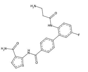 NCCC(=O)Nc1ccc(F)cc1-c1ccc(C(=O)Nc2sccc2C(N)=O)cc1